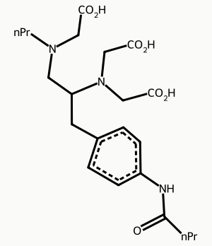 CCCC(=O)Nc1ccc(CC(CN(CCC)CC(=O)O)N(CC(=O)O)CC(=O)O)cc1